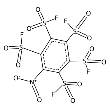 O=[N+]([O-])c1c(S(=O)(=O)F)c(S(=O)(=O)F)c(S(=O)(=O)F)c(S(=O)(=O)F)c1S(=O)(=O)F